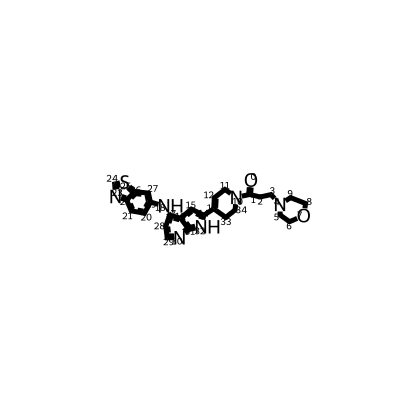 O=C(CCN1CCOCC1)N1CC=C(c2cc3c(Nc4ccc5ncsc5c4)ccnc3[nH]2)CC1